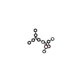 C1=C=C(c2cc(C3=CCCCC3)ccc2N(C2=CCC=C(C3=CCCC=C3)C=C2)C2=CC=C(c3ccc(N(c4ccc(-c5ccccc5)cc4)c4ccc(-c5ccccc5)cc4)cc3)CC2)C=CC=1